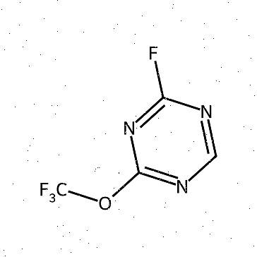 Fc1ncnc(OC(F)(F)F)n1